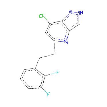 Fc1cccc(CCc2cc(Cl)c3n[nH]cc3n2)c1F